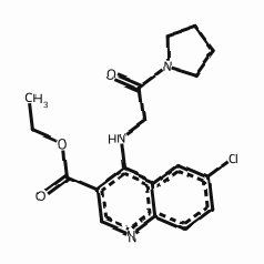 CCOC(=O)c1cnc2ccc(Cl)cc2c1NCC(=O)N1CCCC1